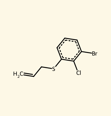 C=CCSc1cccc(Br)c1Cl